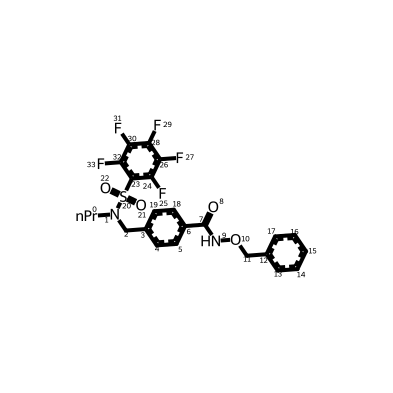 CCCN(Cc1ccc(C(=O)NOCc2ccccc2)cc1)S(=O)(=O)c1c(F)c(F)c(F)c(F)c1F